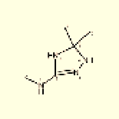 CNC1=NNC(C)(C)N1